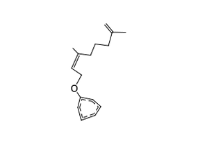 C=C(C)CCCC(C)=CCOc1ccccc1